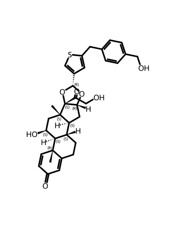 C[C@]12C=CC(=O)C=C1CC[C@@H]1[C@@H]2[C@@H](O)C[C@@]2(C)[C@H]1C[C@H]1O[C@@H](c3csc(Cc4ccc(CO)cc4)c3)O[C@]12C(=O)CO